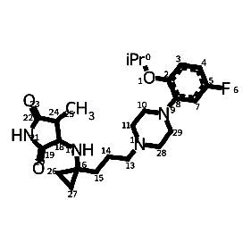 CC(C)Oc1ccc(F)cc1N1CCN(CCCC2(NC3C(=O)NC(=O)C3C)CC2)CC1